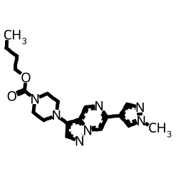 CCCCOC(=O)N1CCN(c2cnn3cc(-c4cnn(C)c4)ncc23)CC1